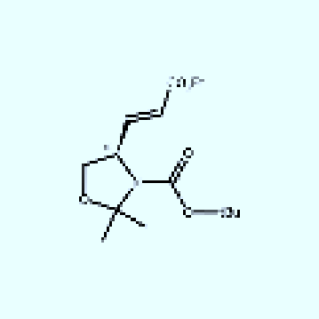 CCOC(=O)C=C[C@@H]1COC(C)(C)N1C(=O)OC(C)(C)C